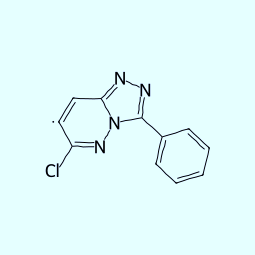 Clc1[c]cc2nnc(-c3ccccc3)n2n1